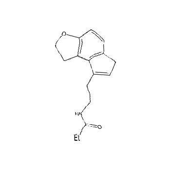 CCC(=O)NCCC1=CCc2ccc3c(c21)CCO3